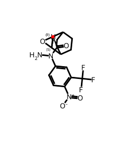 NN(C(=O)[C@]12O[C@H]1C1CCC2CC1)c1ccc([N+](=O)[O-])c(C(F)(F)F)c1